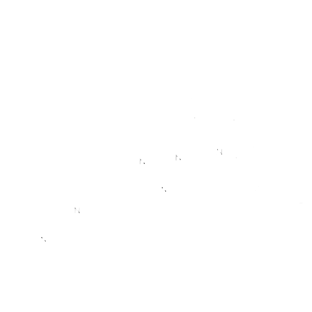 CC1(C)Cc2ccccc2C(=O)C1n1c(=O)c(Oc2ccccc2F)cc2cnc(Nc3ccc(N4CCN5CCCC5C4)cc3)nc21